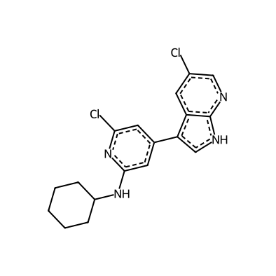 Clc1cnc2[nH]cc(-c3cc(Cl)nc(NC4CCCCC4)c3)c2c1